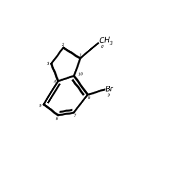 CC1CCc2cccc(Br)c21